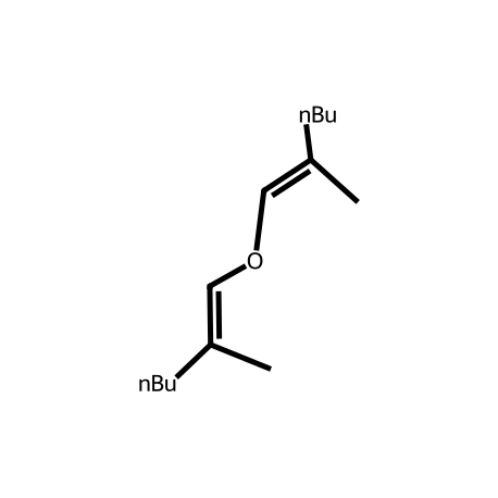 CCCCC(C)=COC=C(C)CCCC